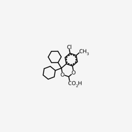 Cc1cc2c(cc1Cl)C(C1CCCCC1)(C1CCCCC1)OC(C(=O)O)O2